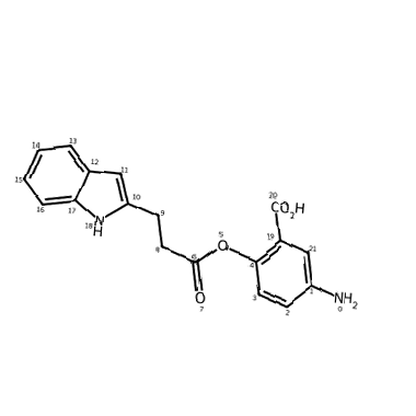 Nc1ccc(OC(=O)CCc2cc3ccccc3[nH]2)c(C(=O)O)c1